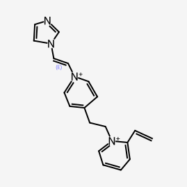 C=Cc1cccc[n+]1CCc1cc[n+](/C=C/n2ccnc2)cc1